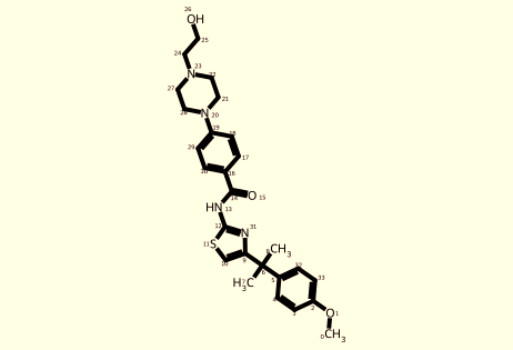 COc1ccc(C(C)(C)c2csc(NC(=O)c3ccc(N4CCN(CCO)CC4)cc3)n2)cc1